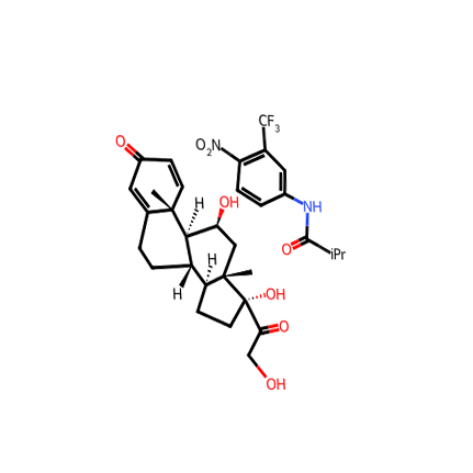 CC(C)C(=O)Nc1ccc([N+](=O)[O-])c(C(F)(F)F)c1.C[C@]12C=CC(=O)C=C1CC[C@@H]1[C@@H]2[C@@H](O)C[C@@]2(C)[C@H]1CC[C@]2(O)C(=O)CO